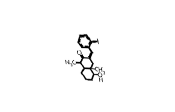 CC1C(=O)/C(=C\c2ccccc2I)C[C@@]2(C)C1CCC[C@@H]2O